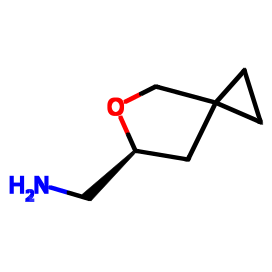 NC[C@@H]1CC2(CC2)CO1